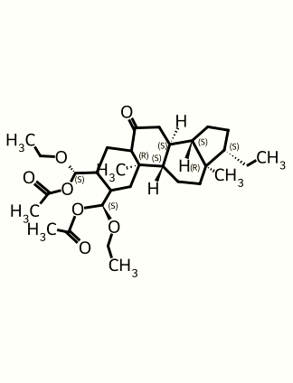 CCO[C@@H](OC(C)=O)C1CC2C(=O)C[C@H]3[C@@H]4CC[C@H](CC)[C@@]4(C)CC[C@@H]3[C@@]2(C)CC1[C@@H](OCC)OC(C)=O